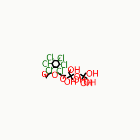 C(OCC1CO1)C1CO1.Cl[C@H]1[C@H](Cl)[C@@H](Cl)[C@@H](Cl)[C@H](Cl)[C@H]1Cl.OCC(CO)(CO)COCC(CO)(CO)CO